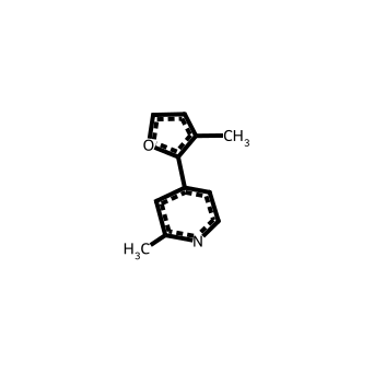 Cc1cc(-c2occc2C)ccn1